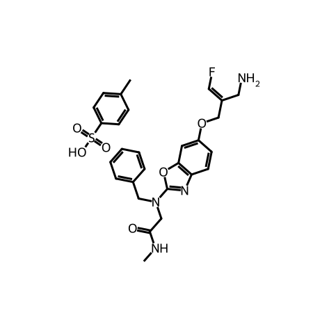 CNC(=O)CN(Cc1ccccc1)c1nc2ccc(OCC(=CF)CN)cc2o1.Cc1ccc(S(=O)(=O)O)cc1